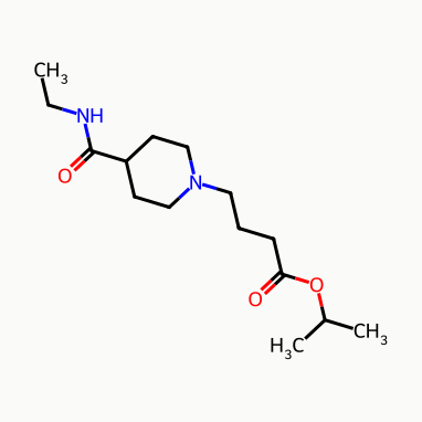 CCNC(=O)C1CCN(CCCC(=O)OC(C)C)CC1